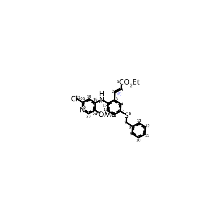 CCOC(=O)/C=C/c1cc(SCc2ccccc2)ccc1Nc1cc(Cl)ncc1OC